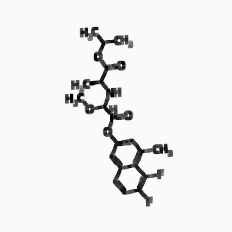 COC(N[C@@H](C)C(=O)OC(C)C)[PH](=O)Oc1cc(C)c2c(F)c(F)ccc2c1